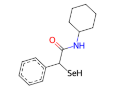 O=C(NC1CCCCC1)C([SeH])c1ccccc1